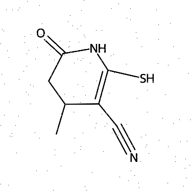 CC1CC(=O)NC(S)=C1C#N